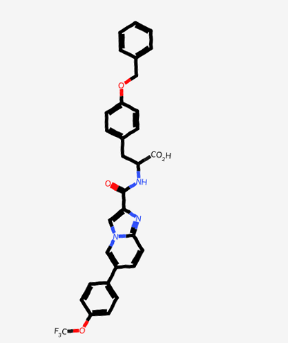 O=C(NC(Cc1ccc(OCc2ccccc2)cc1)C(=O)O)c1cn2cc(-c3ccc(OC(F)(F)F)cc3)ccc2n1